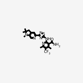 Cc1nc(Nc2nc(-c3cc4c(cn3)N(C)C(C)(C)C4)ns2)c(C(N)=O)c(C)c1C(F)(F)F